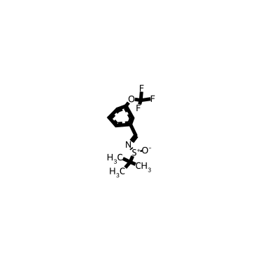 CC(C)(C)[S@@+]([O-])/N=C/c1cccc(OC(F)(F)F)c1